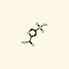 O=C(O)c1cc(S(=O)(=O)O)co1